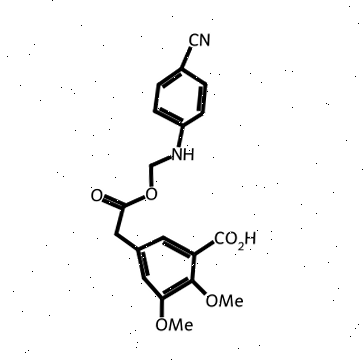 COc1cc(CC(=O)OCNc2ccc(C#N)cc2)cc(C(=O)O)c1OC